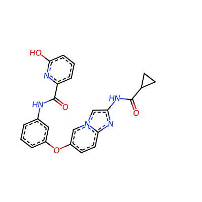 O=C(Nc1cccc(Oc2ccc3nc(NC(=O)C4CC4)cn3c2)c1)c1cccc(O)n1